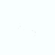 O=C(O)c1ccc(/C=C/c2cc(Cl)cc(Cl)c2)cc1